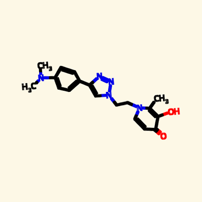 Cc1c(O)c(=O)ccn1CCn1cc(-c2ccc(N(C)C)cc2)nn1